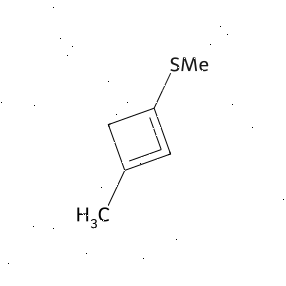 CSC1=C=C(C)C1